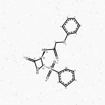 O=C(COc1ccccc1)N[C@@H]1C(=O)N[C@H]1S(=O)(=O)c1ccccc1